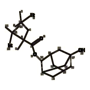 CCC(C)(C)CC(C)(C(=O)OC1C2CC3CC1CC(O)(C3)C2)C(C)(C)CC